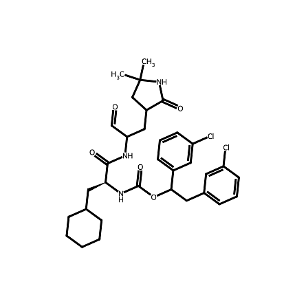 CC1(C)CC(CC(C=O)NC(=O)[C@H](CC2CCCCC2)NC(=O)OC(Cc2cccc(Cl)c2)c2cccc(Cl)c2)C(=O)N1